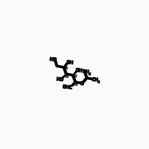 CC(N)O[C@@H](C=O)[C@@H](O)[C@H](O)[C@H](O)CO